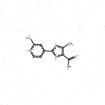 Cc1cc(-c2nc(C)c(C(=O)O)o2)ccn1